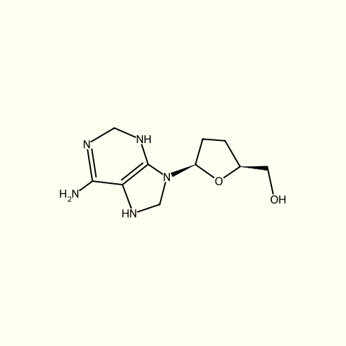 NC1=NCNC2=C1NCN2[C@H]1CC[C@@H](CO)O1